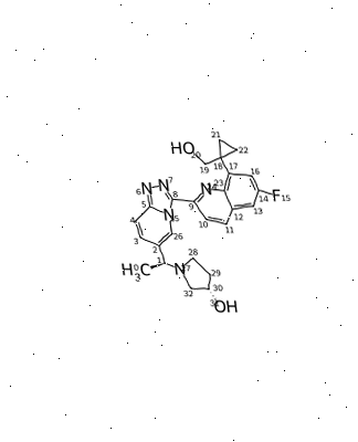 C[C@@H](c1ccc2nnc(-c3ccc4cc(F)cc(C5(CO)CC5)c4n3)n2c1)N1CC[C@H](O)C1